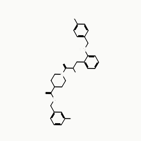 O=C(NCc1cccc(Cl)c1)C1CCN(C(=O)C(O)Cc2ccccc2NCc2ccc(Cl)cc2)CC1